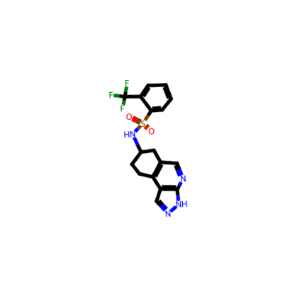 O=S(=O)(NC1CCc2c(cnc3[nH]ncc23)C1)c1ccccc1C(F)(F)F